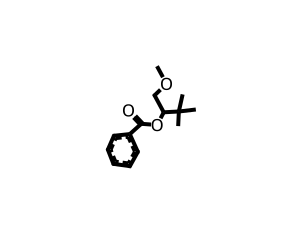 COCC(OC(=O)c1ccccc1)C(C)(C)C